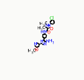 COc1cncc(-c2cnc(N)c(-c3ccc(NC(=O)c4c(C)n(C)n(-c5cccc(Cl)c5)c4=O)cc3)n2)c1